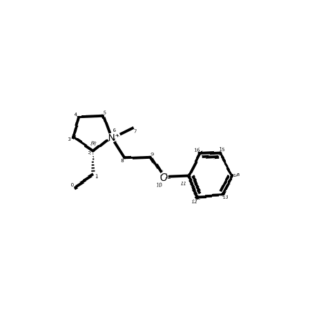 CC[C@@H]1CCC[N+]1(C)CCOc1ccccc1